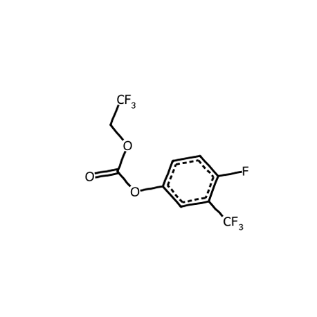 O=C(OCC(F)(F)F)Oc1ccc(F)c(C(F)(F)F)c1